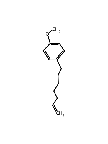 C=CCCCCCc1ccc(OC)cc1